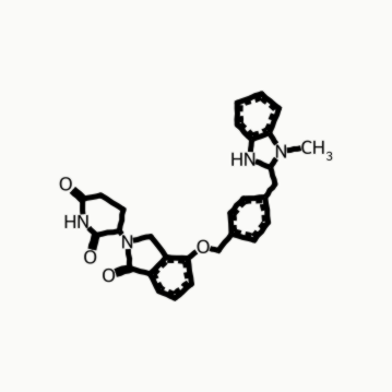 CN1c2ccccc2NC1Cc1ccc(COc2cccc3c2CN(C2CCC(=O)NC2=O)C3=O)cc1